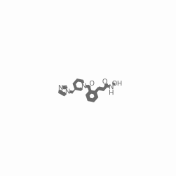 O=C(/C=C/c1ccccc1C(=O)N1CCC[C@H](Cn2ccnc2)C1)NO